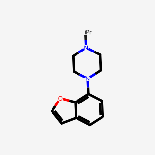 CC(C)N1CCN(c2cccc3ccoc23)CC1